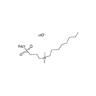 CCCCCCCC[N+](C)(C)CCCS(=O)(=O)O.[OH-]